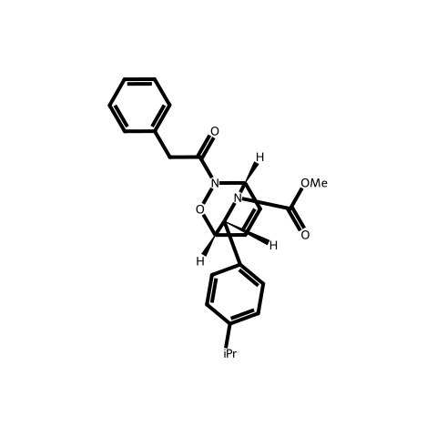 COC(=O)N1[C@H](c2ccc(C(C)C)cc2)[C@@H]2C=C[C@H]1N(C(=O)Cc1ccccc1)O2